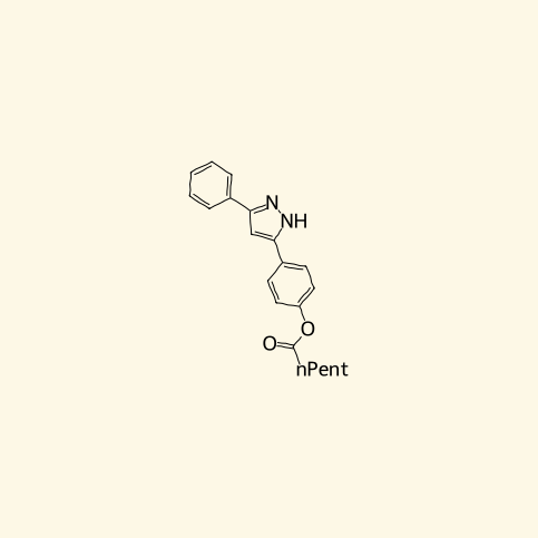 CCCCCC(=O)Oc1ccc(-c2cc(-c3ccccc3)n[nH]2)cc1